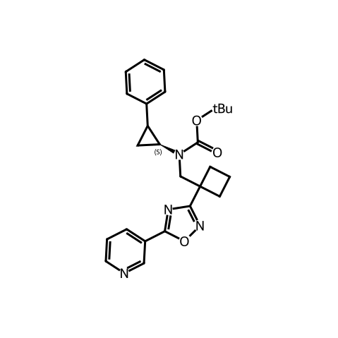 CC(C)(C)OC(=O)N(CC1(c2noc(-c3cccnc3)n2)CCC1)[C@H]1CC1c1ccccc1